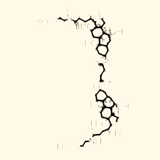 C[C@H](CCC(=O)NCCS(=O)(=O)O)[C@H]1CC[C@H]2[C@@H]3[C@@H](O)CC4C[C@H](OC(=O)CCC(=O)O[C@H]5CC[C@]6(C)C(C5)C[C@@H](O)[C@@H]5[C@H]7CC[C@@H]([C@@H](C)CCC(O)NCCS(=O)(=O)O)[C@]7(C)CC[C@H]56)CC[C@]4(C)[C@H]3CC[C@]12C